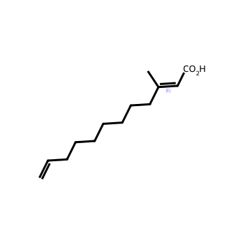 C=CCCCCCCC/C(C)=C/C(=O)O